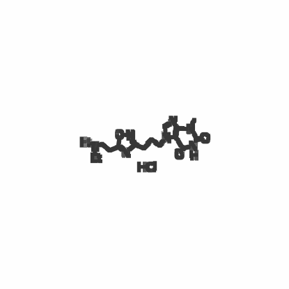 CCN(CC)CCc1nc(CCCn2cnc3c2c(=O)[nH]c(=O)n3C)no1.Cl